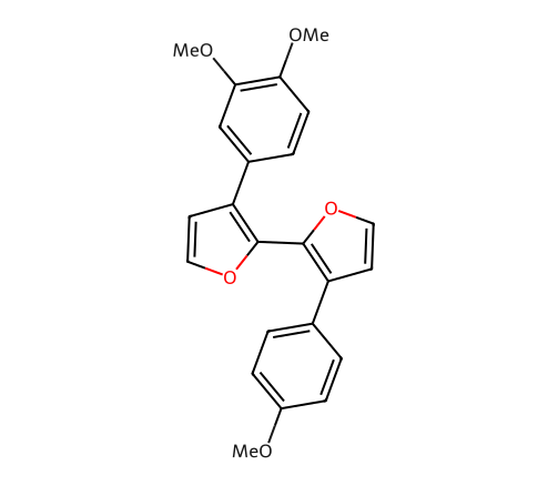 COc1ccc(-c2ccoc2-c2occc2-c2ccc(OC)c(OC)c2)cc1